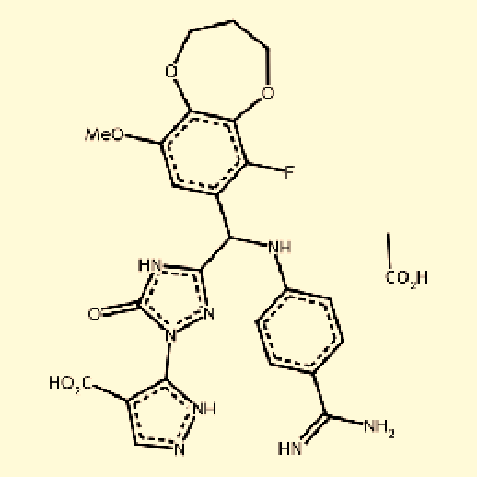 CC(=O)O.COc1cc(C(Nc2ccc(C(=N)N)cc2)c2nn(-c3[nH]ncc3C(=O)O)c(=O)[nH]2)c(F)c2c1OCCCO2